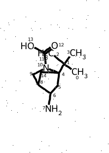 CC(C)(C)C12CC(N)C(CN1C(=O)O)C2